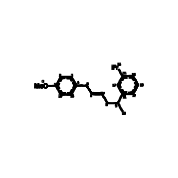 COc1ccc(C/C=C/CC(C)c2cccc(C(C)C)c2)cc1